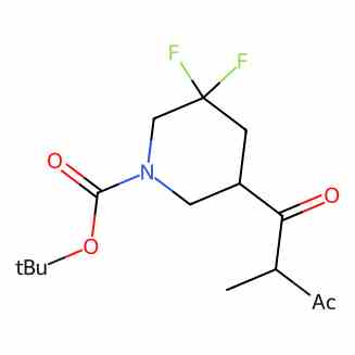 CC(=O)C(C)C(=O)C1CN(C(=O)OC(C)(C)C)CC(F)(F)C1